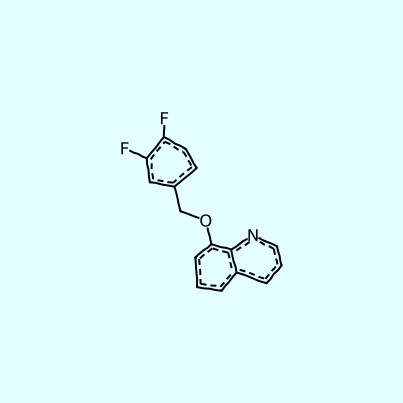 Fc1ccc(COc2cccc3cccnc23)cc1F